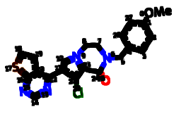 COc1ccc(CN2CCn3cc(-c4ncnc5sccc45)c(Cl)c3C2=O)cc1